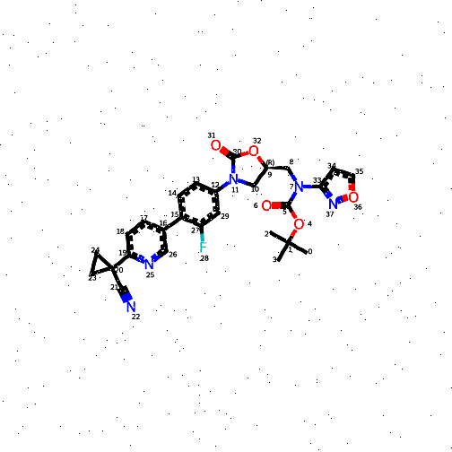 CC(C)(C)OC(=O)N(C[C@H]1CN(c2ccc(-c3ccc(C4(C#N)CC4)nc3)c(F)c2)C(=O)O1)c1ccon1